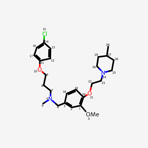 COc1cc(CN(C)CCCOc2ccc(Cl)cc2)ccc1OCCN1CCC(C)CC1